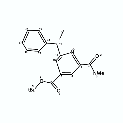 CNC(=O)c1cc(C(=O)OC(C)(C)C)cc([C@@H](C)c2ccccc2)n1